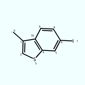 [CH2]c1csc2cc(I)ccc12